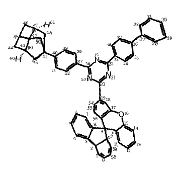 C1=CC2c3ccccc3C3(c4ccccc4Oc4cc(-c5nc(-c6ccc(-c7ccccc7)cc6)nc(-c6ccc(C78C[C@H]9CC%10C[C@@H](C7)C%109C8)cc6)n5)ccc43)C2C=C1